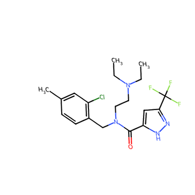 CCN(CC)CCN(Cc1ccc(C)cc1Cl)C(=O)c1cc(C(F)(F)F)n[nH]1